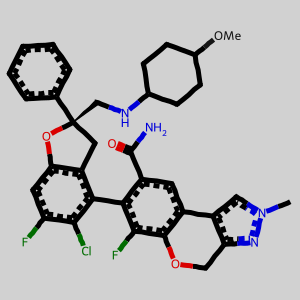 COC1CCC(NC[C@@]2(c3ccccc3)Cc3c(cc(F)c(Cl)c3-c3c(C(N)=O)cc4c(c3F)OCc3nn(C)cc3-4)O2)CC1